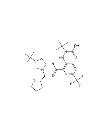 CC(C)(C)c1cn(C[C@H]2CCCO2)c(=NC(=O)c2cc(C(F)(F)F)ccc2NN(C(=O)O)C(C)(C)C)s1